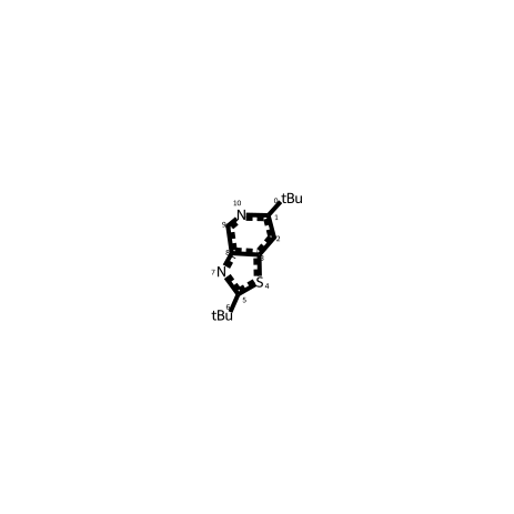 CC(C)(C)c1cc2sc(C(C)(C)C)nc2cn1